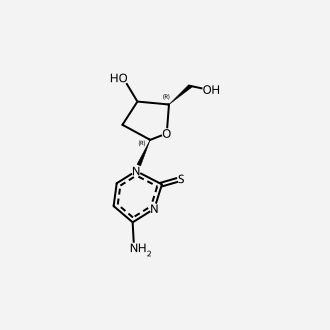 Nc1ccn([C@H]2CC(O)[C@@H](CO)O2)c(=S)n1